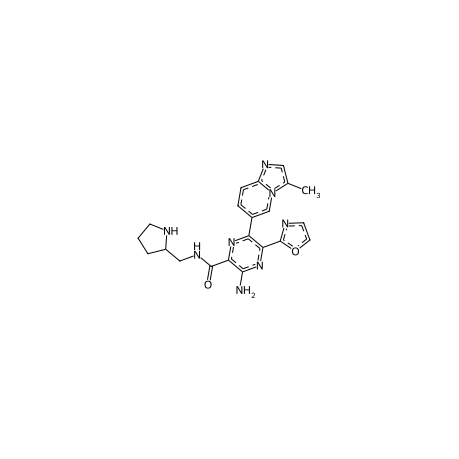 Cc1cnc2ccc(-c3nc(C(=O)NCC4CCCN4)c(N)nc3-c3ncco3)cn12